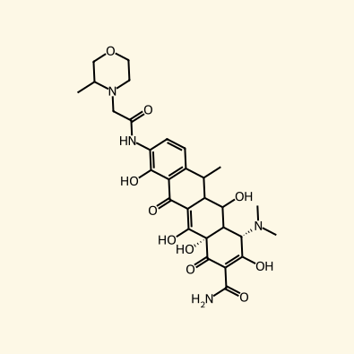 CC1c2ccc(NC(=O)CN3CCOCC3C)c(O)c2C(=O)C2=C(O)[C@]3(O)C(=O)C(C(N)=O)=C(O)[C@@H](N(C)C)C3C(O)C21